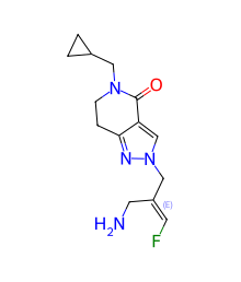 NC/C(=C\F)Cn1cc2c(n1)CCN(CC1CC1)C2=O